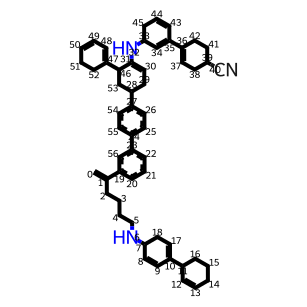 C=C(CCCCNC1C=CC(C2C=CCCC2)=CC1)c1cccc(-c2ccc(C3CC=C(NC4C=C(C5=CCC(C#N)CC5)C=CC4)C(C4=CC=CCC4)C3)cc2)c1